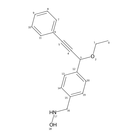 CCOC(C#Cc1ccccc1)c1ccc(CNO)cc1